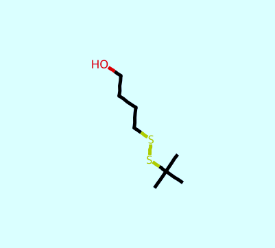 CC(C)(C)SSCCCCO